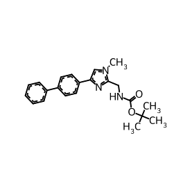 Cn1cc(-c2ccc(-c3ccccc3)cc2)nc1CNC(=O)OC(C)(C)C